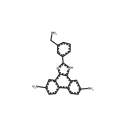 NCc1cccc(-c2nc3c4cc(N)ccc4c4ccc(N)cc4c3[nH]2)c1